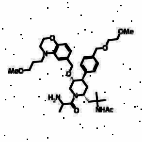 COCCCN1CCOc2ccc(CO[C@H]3CN(C(=O)C(C)N)[C@@H](CC(C)(C)NC(C)=O)C[C@@H]3c3ccc(COCCOC)cc3)cc21